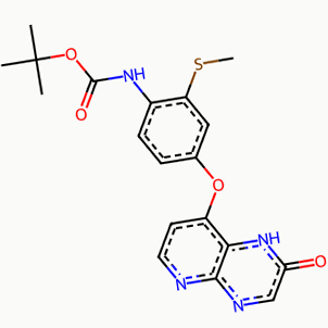 CSc1cc(Oc2ccnc3ncc(=O)[nH]c23)ccc1NC(=O)OC(C)(C)C